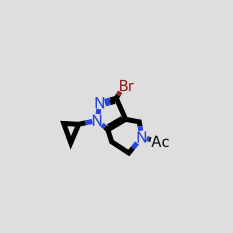 CC(=O)N1CCc2c(c(Br)nn2C2CC2)C1